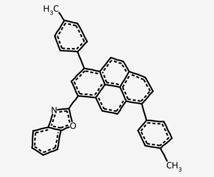 Cc1ccc(-c2ccc3ccc4c(-c5ccc(C)cc5)cc(-c5nc6ccccc6o5)c5ccc2c3c45)cc1